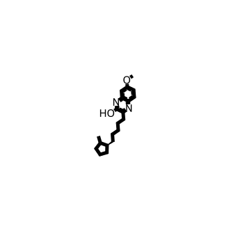 COc1ccc2nc(CCCCC[C@H]3CCCC3C)c(O)nc2c1